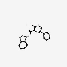 Nc1ncc(-c2ccccc2)nc1C(=O)N[C@@H]1CCc2ccccc21